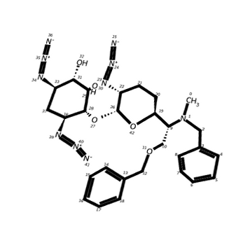 CN(Cc1ccccc1)[C@H](COCc1ccccc1)[C@@H]1CC[C@@H](N=[N+]=[N-])[C@@H](O[C@H]2[C@H](O)[C@@H](O)[C@H](N=[N+]=[N-])C[C@@H]2N=[N+]=[N-])O1